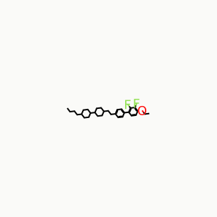 CCCCC1CCC(C2CCC(CCc3ccc(-c4ccc(OCC)c(F)c4F)cc3)CC2)CC1